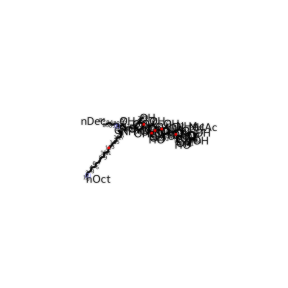 CCCCCCCC/C=C\CCCCCCCCCCCCCCCC(=O)N[C@@H](CO[C@@H]1OC(CO)[C@@H](O[C@@H]2OC(CO)[C@H](O)[C@H](O[C@H]3OC(CO)[C@H](O)[C@H](O[C@@H]4OC(CO)[C@H](O)[C@H](O[C@H]5OC(CO)[C@H](O)[C@H](O)C5NC(C)=O)C4NC(C)=O)C3O)C2O)[C@H](O)C1O)[C@H](O)/C=C/CCCCCCCCCCCCC